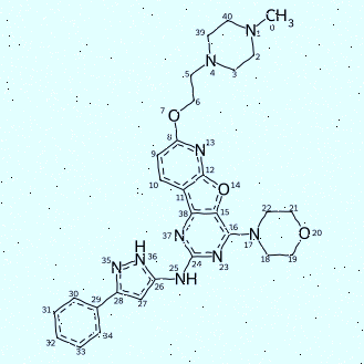 CN1CCN(CCOc2ccc3c(n2)oc2c(N4CCOCC4)nc(Nc4cc(-c5ccccc5)n[nH]4)nc23)CC1